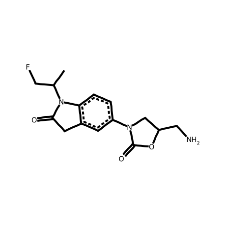 CC(CF)N1C(=O)Cc2cc(N3CC(CN)OC3=O)ccc21